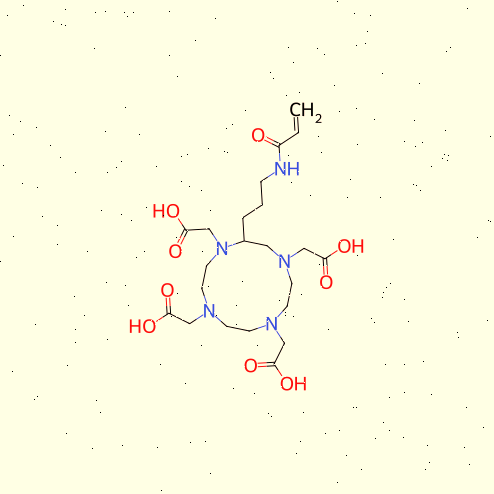 C=CC(=O)NCCCC1CN(CC(=O)O)CCN(CC(=O)O)CCN(CC(=O)O)CCN1CC(=O)O